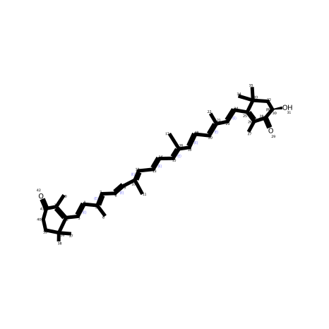 CC1=C(/C=C/C(C)=C/C=C/C(C)=C/C=C/C=C(C)/C=C/C=C(C)/C=C/C2=C(C)C(=O)[C@H](O)CC2(C)C)C(C)(C)CCC1=O